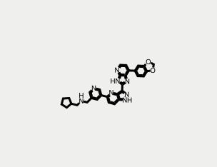 c1cc(-c2ccc3c(c2)OCO3)c2nc(-c3n[nH]c4ccc(-c5cncc(CNCC6CCCC6)c5)nc34)[nH]c2n1